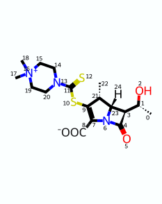 C[C@@H](O)[C@H]1C(=O)N2C(C(=O)[O-])=C(SC(=S)N3CC[N+](C)(C)CC3)[C@H](C)[C@H]12